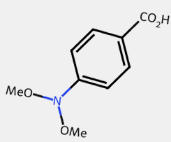 CON(OC)c1ccc(C(=O)O)cc1